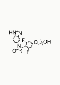 CC1C(=O)N(c2ccc3[nH]cnc3c2)C1c1c(F)cc(OCC(C)(C)O)cc1F